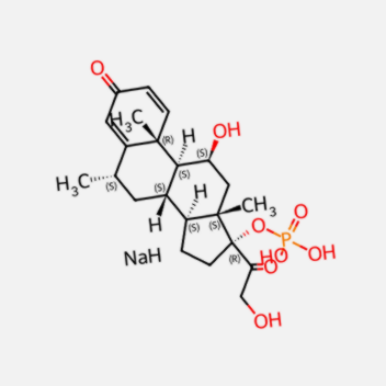 C[C@H]1C[C@@H]2[C@H]([C@@H](O)C[C@@]3(C)[C@H]2CC[C@]3(OP(=O)(O)O)C(=O)CO)[C@@]2(C)C=CC(=O)C=C12.[NaH]